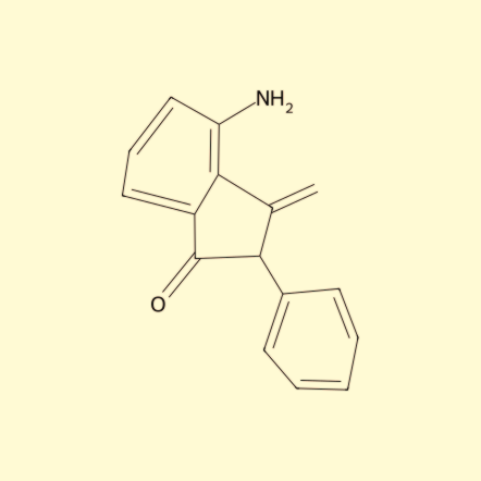 C=C1c2c(N)cccc2C(=O)C1c1ccccc1